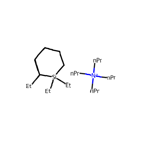 CCC1CCCC[Si]1(CC)CC.CCC[N+](CCC)(CCC)CCC